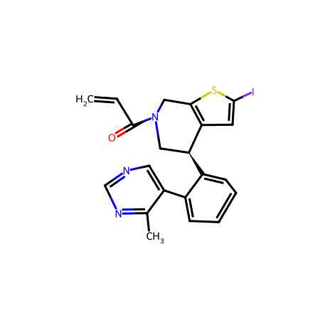 C=CC(=O)N1Cc2sc(I)cc2[C@@H](c2ccccc2-c2cncnc2C)C1